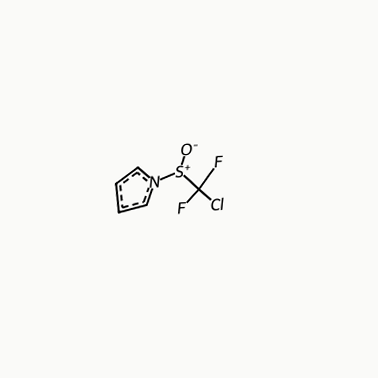 [O-][S+](n1cccc1)C(F)(F)Cl